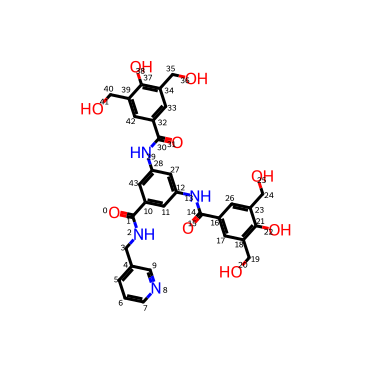 O=C(NCc1cccnc1)c1cc(NC(=O)c2cc(CO)c(O)c(CO)c2)cc(NC(=O)c2cc(CO)c(O)c(CO)c2)c1